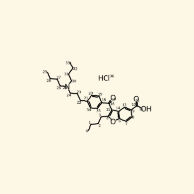 CCCCc1oc2ccc(C(=O)O)cc2c1C(=O)c1ccc(CCCN(CCCC)CCCC)cc1.Cl